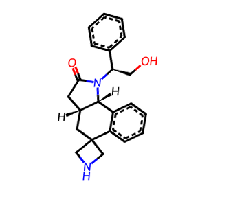 O=C1C[C@H]2CC3(CNC3)c3ccccc3[C@H]2N1[C@H](CO)c1ccccc1